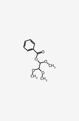 COC(OC)C(OC)OC(=O)c1ccccc1